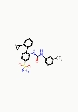 NS(=O)(=O)c1ccc(-c2ccccc2C2CC2)c(NC(=O)Nc2cccc(C(F)(F)F)c2)c1